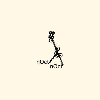 CCCCCCCC/C=C\CCCCCCCC(=O)OCC(COC(=O)CCCCCCCCC(=O)c1ccc2c3cccc4cccc(c5cccc1c52)c43)OC(=O)CCCCCCC/C=C\CCCCCCCC